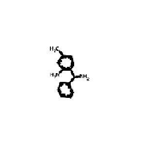 Cc1ccc(C(N)c2ccccc2)c(N)c1